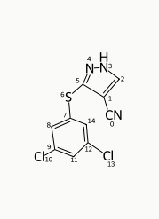 N#Cc1c[nH]nc1Sc1cc(Cl)cc(Cl)c1